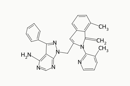 C=C1c2c(C)cccc2C=C(Cn2nc(-c3ccccc3)c3c(N)ncnc32)N1c1ncccc1C